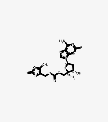 Cc1oc(=O)oc1COC(=O)OC[C@@]1(C)O[C@@H](n2cnc3c(N)nc(F)nc32)C[C@@H]1O